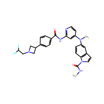 CNC(=O)n1ccc2cc(N(C)c3ccnc(NC(=O)c4ccc(C5CN(CC(F)F)C5)cc4)c3)ccc21